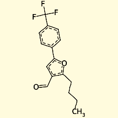 CCCCc1oc(-c2ccc(C(F)(F)F)cc2)cc1C=O